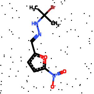 CC(C)(Br)NN=Cc1ccc([N+](=O)[O-])o1